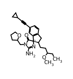 CCC(CCC1Cc2ccc(C#CC3CC3)cc2[C@@]12N=C(N)N(CC1CCCO1)C2=O)OC